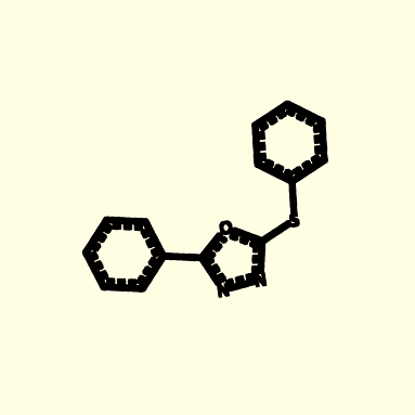 c1ccc(Sc2nnc(-c3ccccc3)o2)cc1